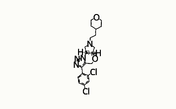 Clc1ccc(-c2nnn3c2CO[C@H]2CN(CCC4CCOCC4)C[C@@H]23)c(Cl)c1